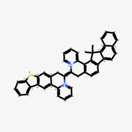 CC1(C)c2c(ccc3c2-c2cccc[n+]2/C(=C2\Cc4cc5sc6ccccc6c5cc4-c4cccc[n+]42)C3)-c2ccc3ccccc3c21